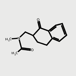 [CH2]C(=O)N(C)CC1CCc2ccccc2C1=O